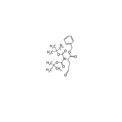 CC(C)(C)OC(=O)N(C(=O)OC(C)(C)C)C(CCC=O)C(=O)OCc1ccccc1